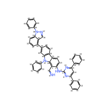 N=Cc1c(Nc2nc(-c3ccccc3)cc(-c3ccccc3)n2)ccc2c3ccc(-c4cccc5c4cnn5-c4ccccc4)cc3n(-c3ccccc3)c12